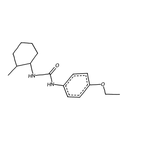 CCOc1ccc(NC(=O)NC2CCCCC2C)cc1